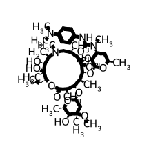 CC[C@H]1OC(=O)[C@H](C)[C@@H](O[C@H]2C[C@@](C)(OC)[C@@H](O)[C@H](C)O2)[C@H](C)[C@@H](O[C@@H]2O[C@H](C)C[C@H](N(C)C(=O)Nc3ccc(N(C)C)cc3)[C@H]2O)[C@](C)(O)C[C@@H](C)CN(C)[C@H](C)[C@@H](O)[C@]1(C)O